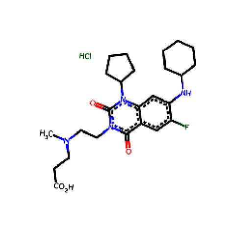 CN(CCC(=O)O)CCn1c(=O)c2cc(F)c(NC3CCCCC3)cc2n(C2CCCC2)c1=O.Cl